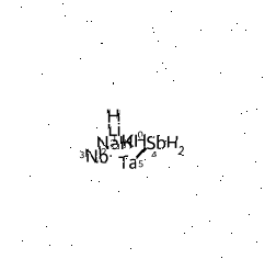 [KH].[LiH].[NaH].[Nb].[SbH2][Ta]